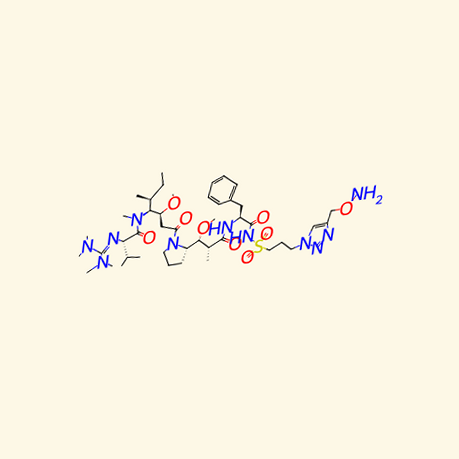 CC[C@H](C)[C@@H]([C@H](CC(=O)N1CCC[C@H]1[C@H](OC)[C@@H](C)C(=O)N[C@@H](Cc1ccccc1)C(=O)NS(=O)(=O)CCCn1cc(CON)nn1)OC)N(C)C(=O)[C@@H](N=C(N(C)C)N(C)C)C(C)C